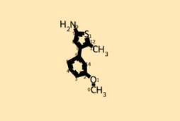 COc1cccc(-c2cc(N)sc2C)c1